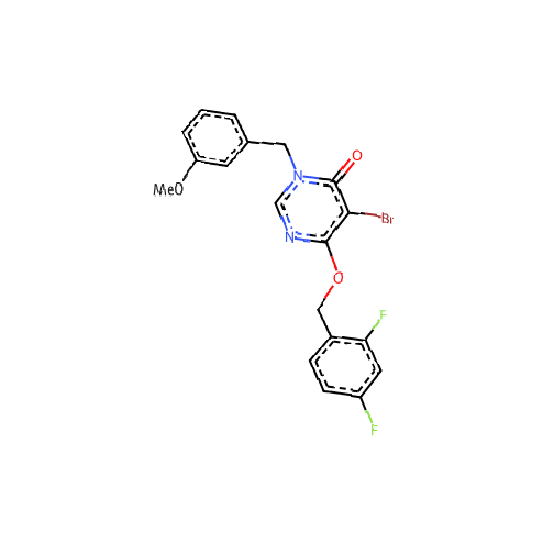 COc1cccc(Cn2cnc(OCc3ccc(F)cc3F)c(Br)c2=O)c1